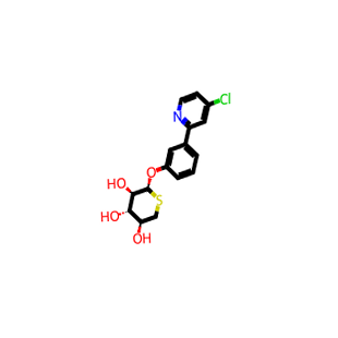 O[C@@H]1[C@@H](O)[C@@H](Oc2cccc(-c3cc(Cl)ccn3)c2)SC[C@H]1O